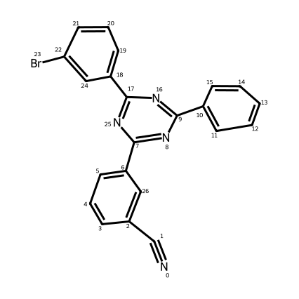 N#Cc1cccc(-c2nc(-c3ccccc3)nc(-c3cccc(Br)c3)n2)c1